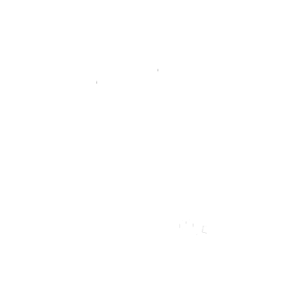 CCOC(=O)C=Cc1ccc(Cl)c(Cl)c1